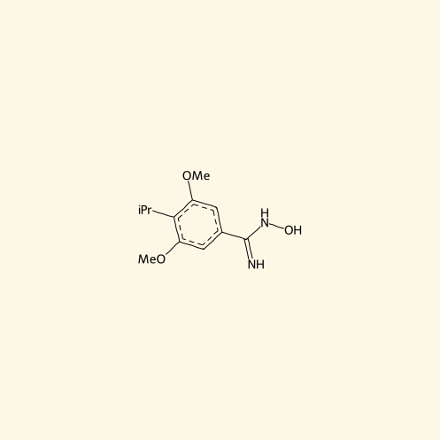 COc1cc(C(=N)NO)cc(OC)c1C(C)C